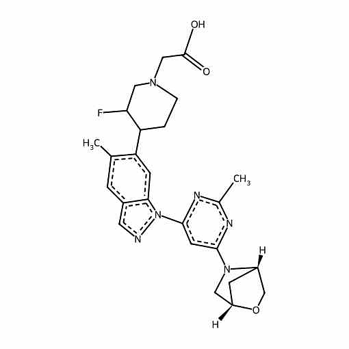 Cc1nc(N2C[C@@H]3C[C@H]2CO3)cc(-n2ncc3cc(C)c(C4CCN(CC(=O)O)CC4F)cc32)n1